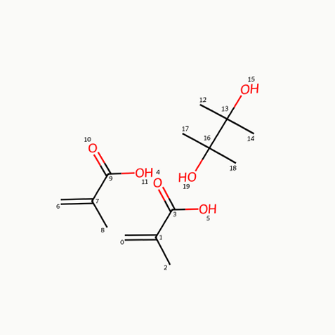 C=C(C)C(=O)O.C=C(C)C(=O)O.CC(C)(O)C(C)(C)O